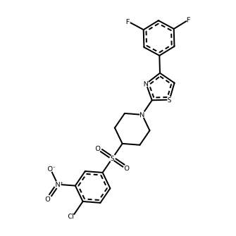 O=[N+]([O-])c1cc(S(=O)(=O)C2CCN(c3nc(-c4cc(F)cc(F)c4)cs3)CC2)ccc1Cl